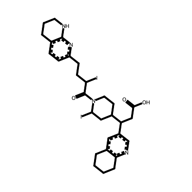 O=C(O)CC(c1cnc2c(c1)CCCC2)C1CCN(C(=O)C(I)CCc2ccc3c(n2)NCCC3)C(I)C1